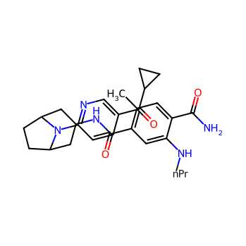 CCCNc1cc(C(=O)NC2CC3CCC(C2)N3c2ccc(C(=O)C3CC3)cn2)c(C)cc1C(N)=O